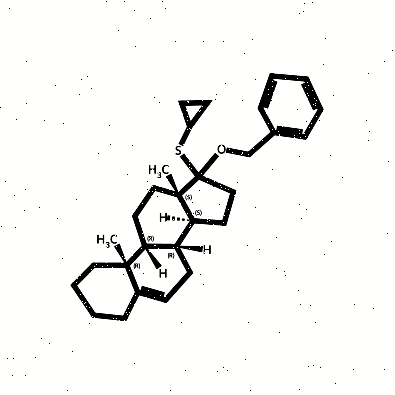 C[C@]12CCCCC1=CC[C@@H]1[C@H]2CC[C@@]2(C)[C@H]1CCC2(OCc1ccccc1)SC1CC1